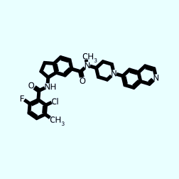 Cc1ccc(F)c(C(=O)NC2CCc3ccc(C(=O)N(C)C4CCN(c5ccc6cnccc6c5)CC4)cc32)c1Cl